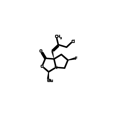 CC(=C[C@]12C[C@@H](F)CN1[C@@H](C(C)(C)C)OC2=O)CCl